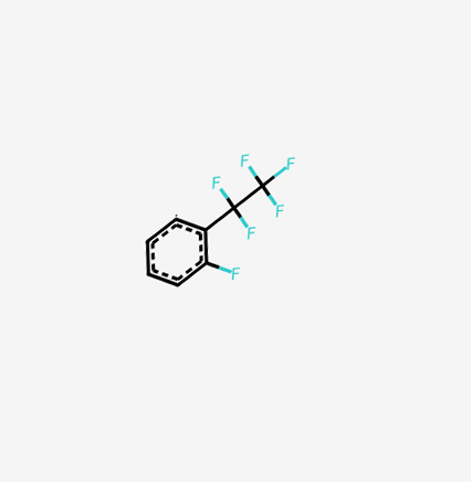 Fc1ccc[c]c1C(F)(F)C(F)(F)F